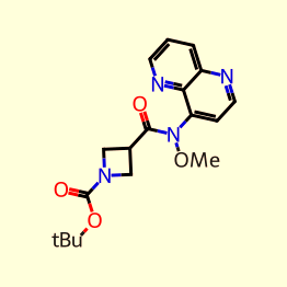 CON(C(=O)C1CN(C(=O)OC(C)(C)C)C1)c1ccnc2cccnc12